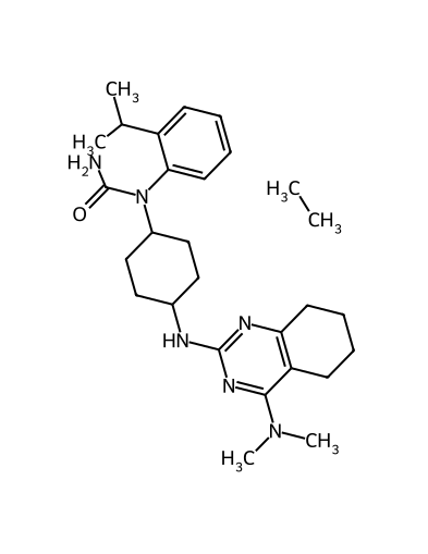 CC.CC(C)c1ccccc1N(C(N)=O)C1CCC(Nc2nc3c(c(N(C)C)n2)CCCC3)CC1